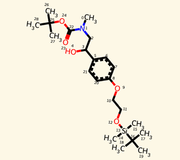 CN(CC(O)c1ccc(OCCO[Si](C)(C)C(C)(C)C)cc1)C(=O)OC(C)(C)C